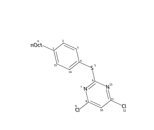 CCCCCCCCc1ccc(Sc2nc(Cl)cc(Cl)n2)cc1